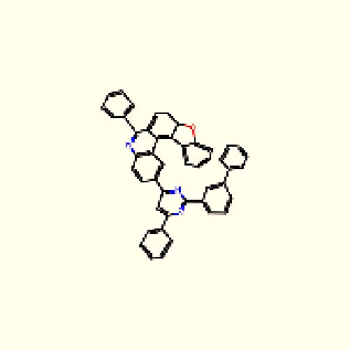 C1=c2c(-c3ccccc3)nc3ccc(-c4cc(-c5ccccc5)nc(-c5cccc(-c6ccccc6)c5)n4)cc3c2=C2c3ccccc3OC2C1